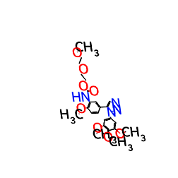 COCCOCCOC(=O)Nc1cc(-c2cnnn2-c2cc(OC)c(OC)c(OC)c2)ccc1OC